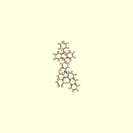 Cc1cc(-n2c3ccc4ccccc4c3c3c4cc5ccccc5cc4ccc32)c(C)cc1-c1c2ccccc2c(-c2ccccc2)c2ccccc12